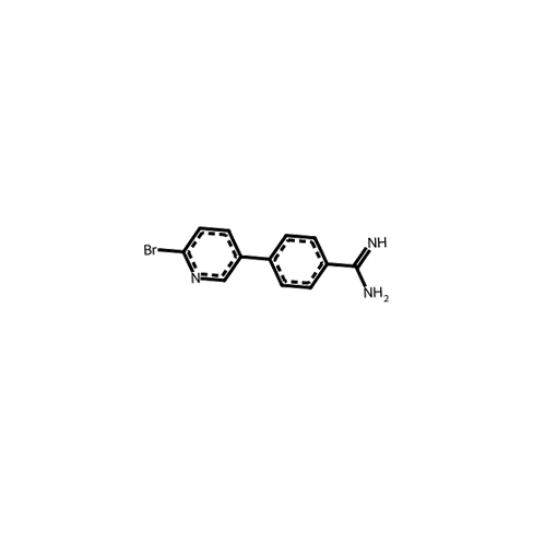 N=C(N)c1ccc(-c2ccc(Br)nc2)cc1